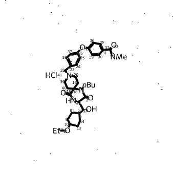 CCCCN1C(=O)[C@@H]([C@H](O)C2CCC(OCC)CC2)NC(=O)C12CCN(Cc1ccc(Oc3ccc(C(=O)NC)cc3)cc1)CC2.Cl